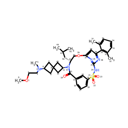 COCCN(C)[C@H]1CC2(C1)C[C@H](N1C(=O)c3cccc(c3)S(=O)(=O)Nc3nc(cc(-c4c(C)cccc4C)n3)OC[C@H]1CC(C)C)C2